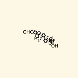 Cc1c(COc2ccc(C=O)cc2Cl)cccc1-c1cccc(-c2nnc(CO)o2)c1C